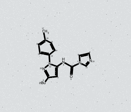 CCCCc1cc(NC(=O)n2ccnc2)n(-c2ccc(C)cc2)n1